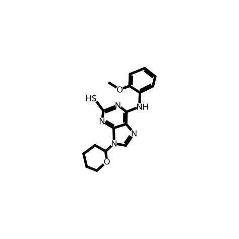 COc1ccccc1Nc1nc(S)nc2c1ncn2C1CCCCO1